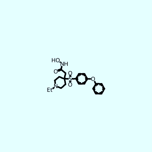 CCN1CCC(CC(=O)NO)(S(=O)(=O)c2ccc(Oc3ccccc3)cc2)CC1